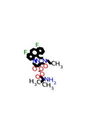 CCCN1CC(C2c3cccc(F)c3CCc3c(F)cccc32)n2ncc(=O)c(OCOC(=O)C(N)C(C)C)c2C1=O